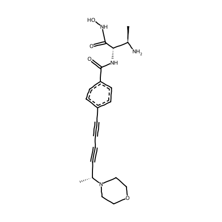 C[C@H](C#CC#Cc1ccc(C(=O)N[C@H](C(=O)NO)[C@@H](C)N)cc1)N1CCOCC1